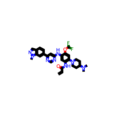 C=CC(=O)Nc1cc(Nc2cc(-c3ccc4cnn(C)c4c3)ncn2)c(OC(F)F)cc1N1CCC(N(C)C)CC1